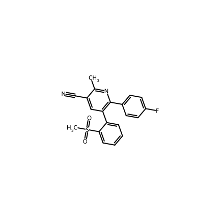 Cc1nc(-c2ccc(F)cc2)c(-c2ccccc2S(C)(=O)=O)cc1C#N